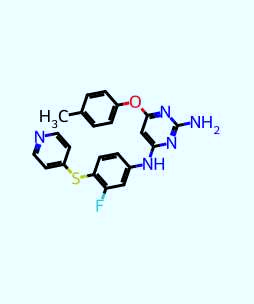 Cc1ccc(Oc2cc(Nc3ccc(Sc4ccncc4)c(F)c3)nc(N)n2)cc1